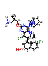 C#Cc1c(F)ccc2cc(O)cc(-c3cnc4c(N5CC6CCC(C5)N6)nc(OCC5(CN(C)C)CC5)nc4c3Cl)c12